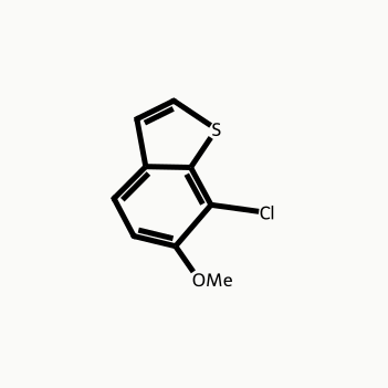 COc1ccc2ccsc2c1Cl